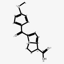 COc1ccc(C(=O)c2ccc3n2CCC3C(=O)O)cc1